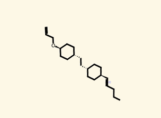 C=CCO[C@H]1CC[C@H](CC[C@H]2CC[C@H](/C=C/CCC)CC2)CC1